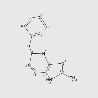 Cc1nc2nc(Cc3ccccc3)ncc2[nH]1